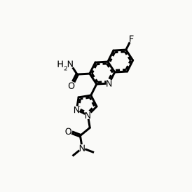 CN(C)C(=O)Cn1cc(-c2nc3ccc(F)cc3cc2C(N)=O)cn1